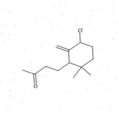 C=C1C(Cl)CCC(C)(C)C1CCC(C)=O